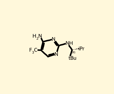 CC(C)[C@@H](Nc1ncc(C(F)(F)F)c(N)n1)C(C)(C)C